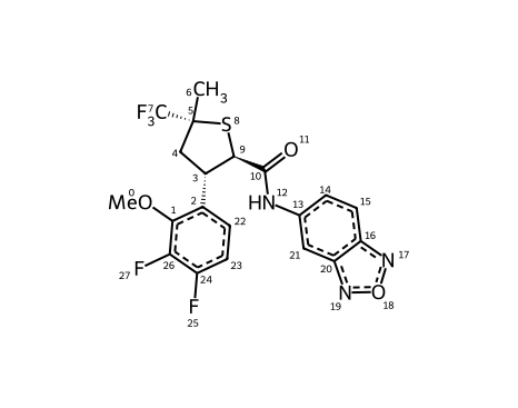 COc1c([C@@H]2C[C@](C)(C(F)(F)F)S[C@H]2C(=O)Nc2ccc3nonc3c2)ccc(F)c1F